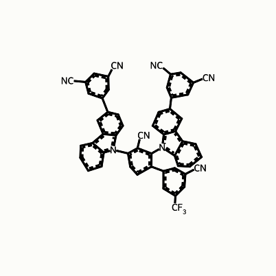 N#Cc1cc(C#N)cc(-c2ccc3c(c2)c2ccccc2n3-c2ccc(-c3cc(C#N)cc(C(F)(F)F)c3)c(-n3c4ccccc4c4cc(-c5cc(C#N)cc(C#N)c5)ccc43)c2C#N)c1